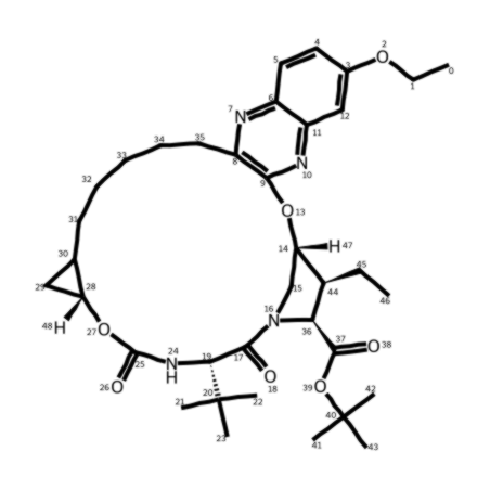 CCOc1ccc2nc3c(nc2c1)O[C@H]1CN(C(=O)[C@H](C(C)(C)C)NC(=O)O[C@@H]2CC2CCCCC3)[C@H](C(=O)OC(C)(C)C)[C@@H]1CC